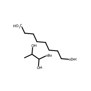 CCCCC(O)C(C)O.CCCCCCCCCCCCCCCCCC(=O)O